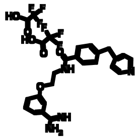 N=C(N)c1cccc(OCCNC(=O)c2ccc(Cc3ccncc3)cc2)c1.O=C(O)C(F)(F)F.O=C(O)C(F)(F)F